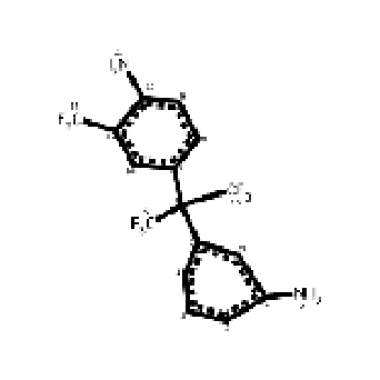 Nc1cccc(C(c2ccc(N)c(C(F)(F)F)c2)(C(F)(F)F)C(F)(F)F)c1